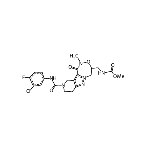 COC(=O)NCC1Cn2nc3c(c2C(=O)N(C)O1)CN(C(=O)Nc1ccc(F)c(Cl)c1)CC3